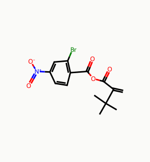 C=C(C(=O)OC(=O)c1ccc([N+](=O)[O-])cc1Br)C(C)(C)C